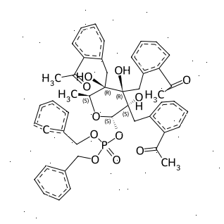 CC(=O)c1ccccc1C[C@]1(O)[C@@](O)(Cc2ccccc2C(C)=O)[C@H](OP(=O)(OCc2ccccc2)OCc2ccccc2)O[C@@H](C)[C@]1(O)Cc1ccccc1C(C)=O